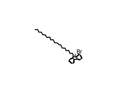 CCCCCCCCCCCCCCCCCCCCn1c2ccccc2c2cccc(Br)c21